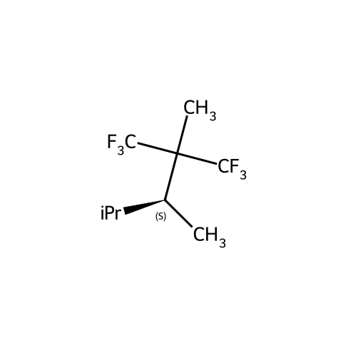 CC(C)[C@H](C)C(C)(C(F)(F)F)C(F)(F)F